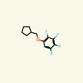 Fc1[c]c(OCC2CCCC2)c(F)c(F)c1F